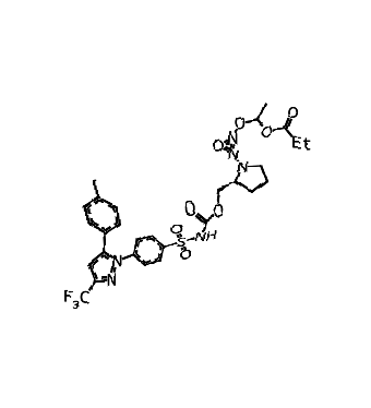 CCC(=O)OC(C)On1on1N1CCC[C@H]1COC(=O)NS(=O)(=O)c1ccc(-n2nc(C(F)(F)F)cc2-c2ccc(C)cc2)cc1